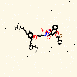 CCCCCc1ccc(OCCCCNC(=O)c2cc(OCC(=S)c3ccccc3)c3ccccc3c2O)c(CCCCC)c1